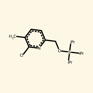 Cc1ccc(CO[Si](C(C)C)(C(C)C)C(C)C)nc1Cl